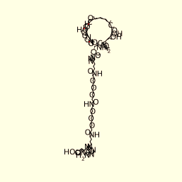 CO[C@H]1C[C@@H]2CC[C@@H](C)[C@@](O)(O2)C(=O)C(=O)N2CCCC[C@H]2C(=O)O[C@H]([C@H](N)C[C@@H]2CC[C@H](n3cc(CCCC(=O)NCCOCCOCCOCCC(=O)NCCOCCOCCOCCC(=O)NCCCCn4nc(-c5cc6cc(O)ccc6[nH]5)c5c(N)ncnc54)nn3)[C@H](OC)C2)C/C(=N/OC(C)(C)C)[C@H](C)/C=C(\C)[C@@H](O)[C@@H](O)C(=O)[C@H](C)C[C@H](C)/C=C/C=C/C=C/1C